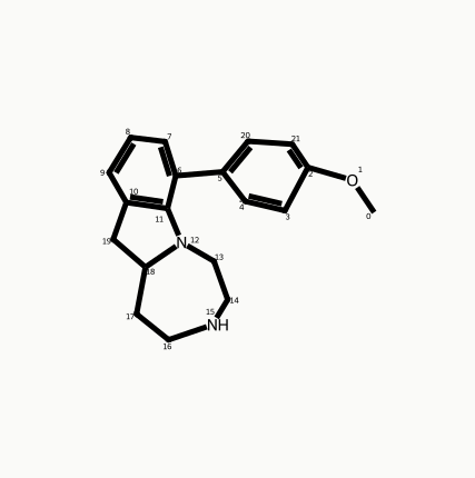 COc1c[c]c(-c2cccc3c2N2CCNCCC2C3)cc1